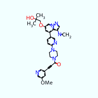 C=Nc1cnn2cc(OCC(C)(C)O)cc(-c3ccc(N4CCN(C(=O)C#Cc5cncc(OC)c5)CC4)nc3)c12